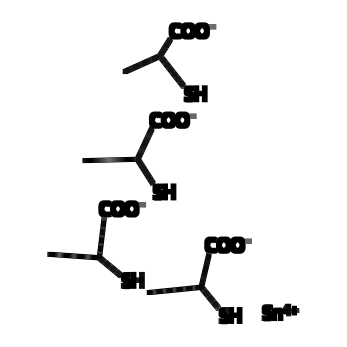 CC(S)C(=O)[O-].CC(S)C(=O)[O-].CC(S)C(=O)[O-].CC(S)C(=O)[O-].[Sn+4]